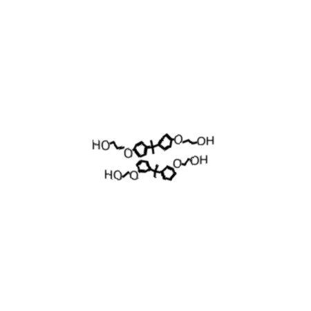 CC(C)(c1ccc(OCCCO)cc1)c1ccc(OCCCO)cc1.CC(C)(c1cccc(OCCO)c1)c1cccc(OCCO)c1